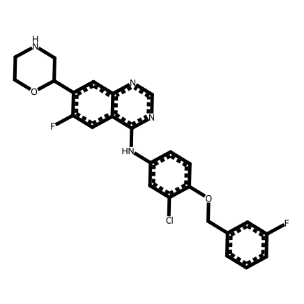 Fc1cccc(COc2ccc(Nc3ncnc4cc(C5CNCCO5)c(F)cc34)cc2Cl)c1